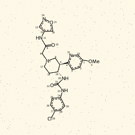 COc1ccc([C@@H]2CN(CC(=O)Nc3cnoc3)CC[C@H]2NC(=O)Nc2ccc(Cl)cc2)nc1